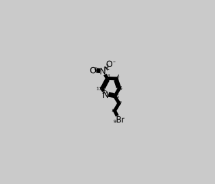 O=[N+]([O-])c1ccc(CCBr)nc1